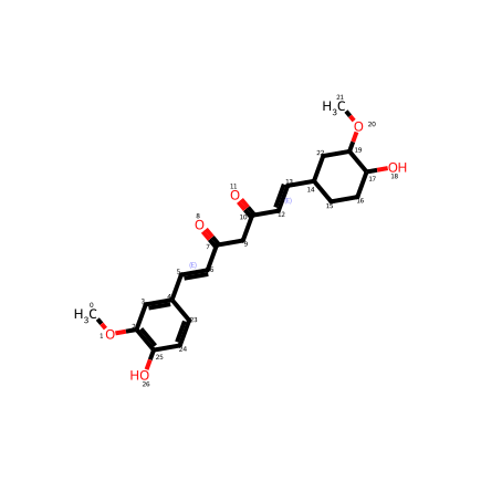 COc1cc(/C=C/C(=O)CC(=O)/C=C/C2CCC(O)C(OC)C2)ccc1O